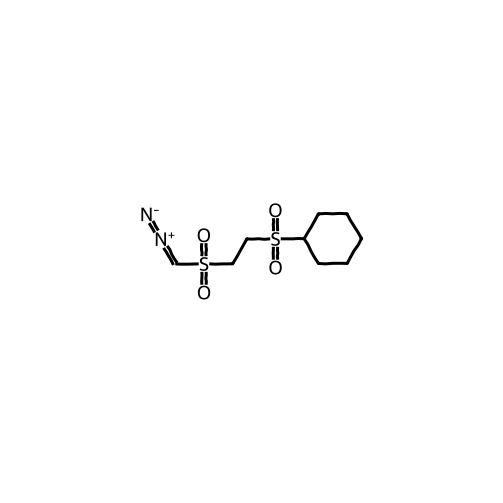 [N-]=[N+]=CS(=O)(=O)CCS(=O)(=O)C1CCCCC1